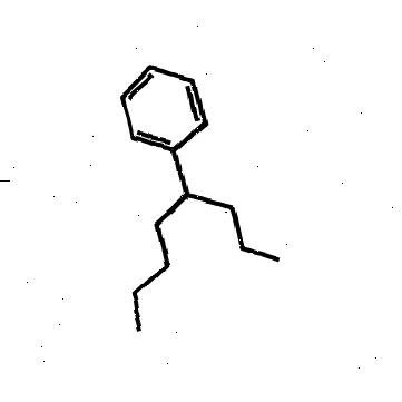 CCCC[C](CCC)c1ccccc1